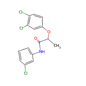 CC(Oc1ccc(Cl)c(Cl)c1)C(=O)Nc1cccc(Cl)c1